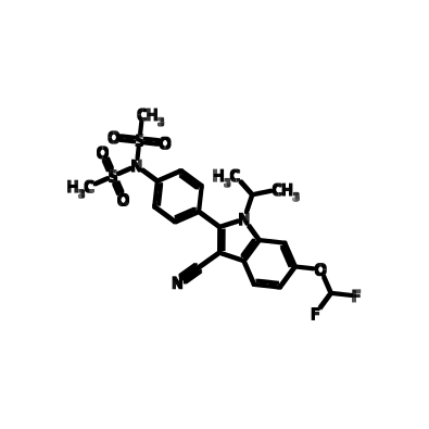 CC(C)n1c(-c2ccc(N(S(C)(=O)=O)S(C)(=O)=O)cc2)c(C#N)c2ccc(OC(F)F)cc21